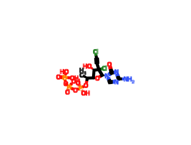 C[C@H](OP(=O)(O)OP(=O)(O)OP(=O)(O)O)[C@H]1O[C@@H](n2cnc(N)nc2=O)C(Cl)(C#CCl)[C@H]1O